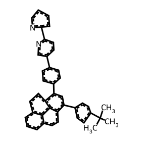 CC(C)(C)c1ccc(-c2cc(-c3ccc(-c4ccc(-c5ccccn5)nc4)cc3)c3ccc4cccc5ccc2c3c45)cc1